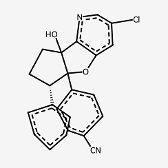 N#Cc1ccc(C23Oc4cc(Cl)cnc4C2(O)CC[C@H]3c2ccccc2)cc1